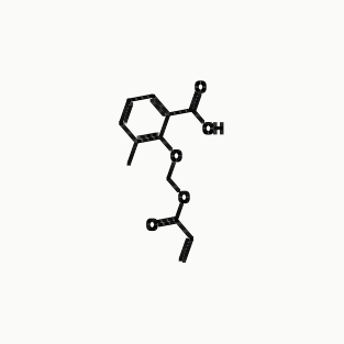 C=CC(=O)OCOc1c(C)cccc1C(=O)O